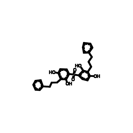 O=S(=O)(c1ccc(O)c(CCCc2ccccc2)c1O)c1ccc(O)c(CCCc2ccccc2)c1O